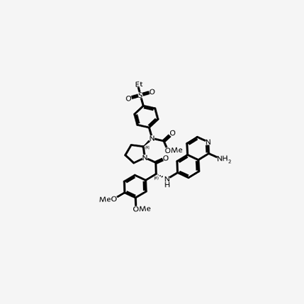 CCS(=O)(=O)c1ccc(N(C(=O)OC)[C@@H]2CCCN2C(=O)[C@H](Nc2ccc3c(N)nccc3c2)c2ccc(OC)c(OC)c2)cc1